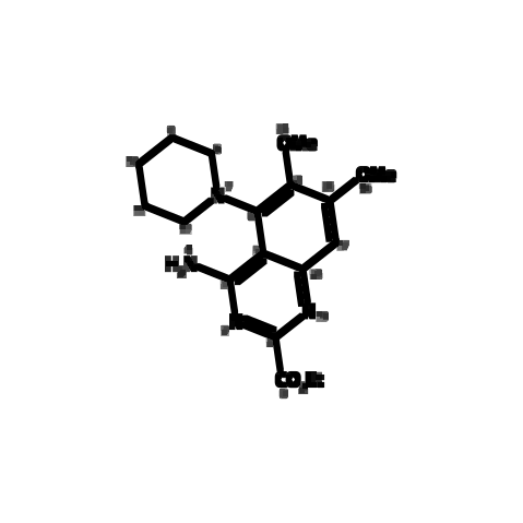 CCOC(=O)c1nc(N)c2c(N3CCCCC3)c(OC)c(OC)cc2n1